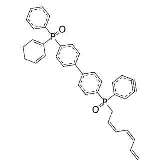 C=C/C=C\C=C/CP(=O)(c1cc#ccc1)c1ccc(-c2ccc(P(=O)(C3=CCCC=C3)c3ccccc3)cc2)cc1